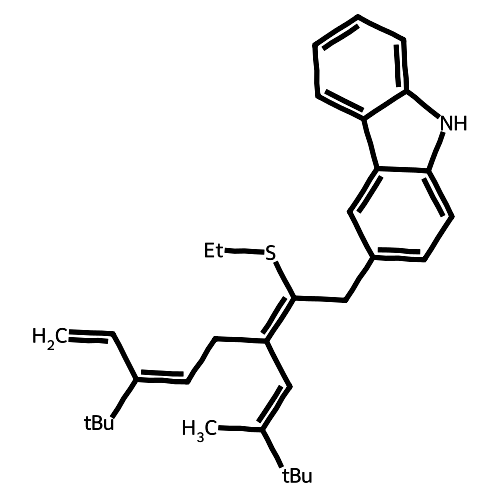 C=C/C(=C\CC(/C=C(\C)C(C)(C)C)=C(/Cc1ccc2[nH]c3ccccc3c2c1)SCC)C(C)(C)C